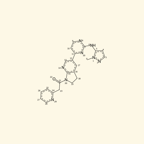 Cn1nccc1Nc1nccc(-c2cnc3c(c2)CCN3C(=O)Cc2ccccn2)n1